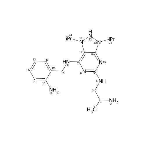 CC(N)CNc1nc(NCc2ccccc2N)c2c(n1)N(C(C)C)NN2C(C)C